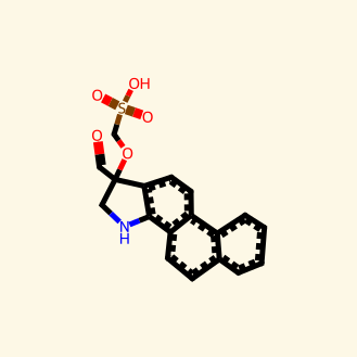 O=CC1(OCS(=O)(=O)O)CNc2c1ccc1c2ccc2ccccc21